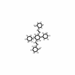 Cc1ccccc1C=Cc1cc(-c2ccccc2)c(C=Cc2ccccc2C)cc1-c1ccccc1